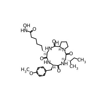 CCC(C)[C@@H]1NC(=O)[C@@H](Cc2ccc(OC)cc2)NC(=O)[C@H](CCCCCC(=O)NO)NC(=O)[C@H]2CCCN2C1=O